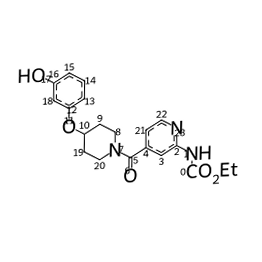 CCOC(=O)Nc1cc(C(=O)N2CCC(Oc3cccc(O)c3)CC2)ccn1